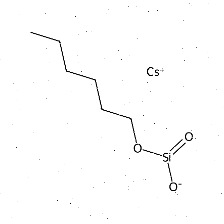 CCCCCCO[Si](=O)[O-].[Cs+]